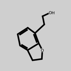 OCCc1cccc2c1OCC2